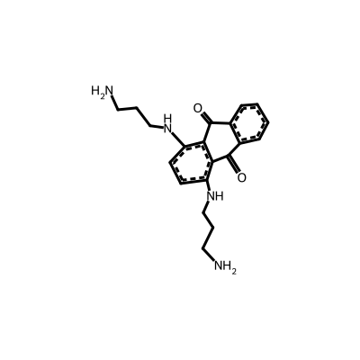 NCCCNc1ccc(NCCCN)c2c1C(=O)c1ccccc1C2=O